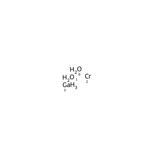 O.O.[Cr].[GaH3]